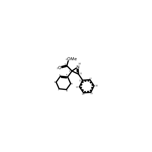 COC(=O)C1(C2=CCCCC2)N=C1c1ccccc1